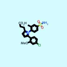 COc1cc(Cl)ccc1-c1ccc(CCC(=O)O)n1-c1ccc(S(N)(=O)=O)cc1C